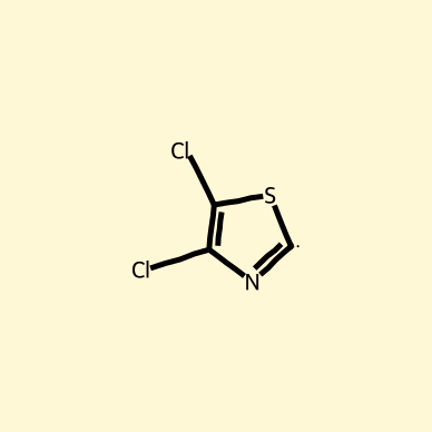 Clc1n[c]sc1Cl